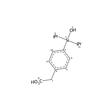 CC(C)[Si](O)(c1ccc(CC(=O)O)cc1)C(C)C